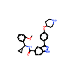 COc1ccccc1C(NC(=O)c1ccc2[nH]nc(-c3ccc(OC4CCNCC4)cc3)c2c1)C1CC1